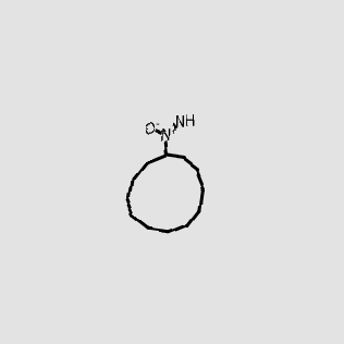 N=[N+]([O-])C1CCCCCCCCCCC1